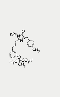 CCCn1c(CCCc2cccc(OC(C)(C)C(=O)O)c2)nn(Cc2ccc(C)cc2)c1=O